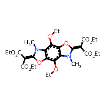 CCOC(=O)C(C(=O)OCC)=C1Oc2c(OCC)c3c(c(OCC)c2N1C)OC(=C(C(=O)OCC)C(=O)OCC)N3C